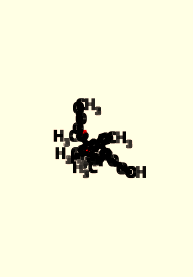 CC[N+](CC)(CC)Cc1cc(C2c3cc(C)ccc3-c3cc4c(cc32)-c2ccc(C)cc2C4c2ccc(OCCOCCOC)c(C)c2)ccc1COCCOCCO